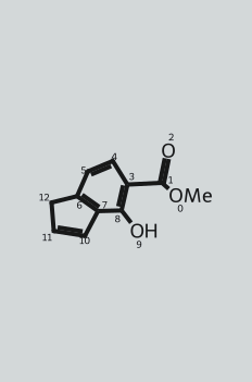 COC(=O)c1ccc2c(c1O)C=CC2